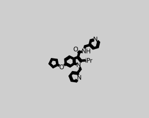 CC(C)c1c(C(=O)NCc2cccnc2)c2ccc(OC3CCCC3)cc2n1Cc1ccccn1